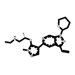 C=Cc1nn(C2CCCCO2)c2cnc(-c3cnn(C)c3O[C@@H](C)CNCC)cc12